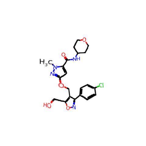 Cn1nc(OCc2c(-c3ccc(Cl)cc3)noc2CO)cc1C(=O)NC1CCOCC1